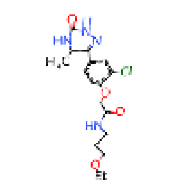 CCOCCCNC(=O)COc1ccc(C2=NNC(=O)NC2C)cc1Cl